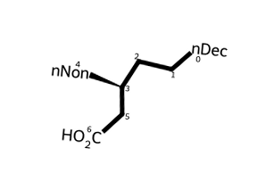 CCCCCCCCCCCC[C@H](CCCCCCCCC)CC(=O)O